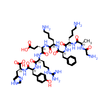 C[C@H](NC(=O)CN)C(=O)N[C@@H](CCCCN)C(=O)N[C@@H](Cc1ccccc1)C(=O)N[C@H](CCCCN)C(=O)N[C@@H](CCC(=O)O)C(=O)N[C@@H](CCCNC(=N)N)C(=O)N[C@@H](Cc1ccc(O)cc1)C(=O)N[C@@H](Cc1c[nH]cn1)C(=O)O